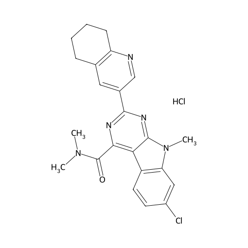 CN(C)C(=O)c1nc(-c2cnc3c(c2)CCCC3)nc2c1c1ccc(Cl)cc1n2C.Cl